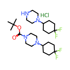 CC(C)(C)OC(=O)N1CCN(C2CCC(F)(F)CC2)CC1.Cl.FC1(F)CCC(N2CCNCC2)CC1